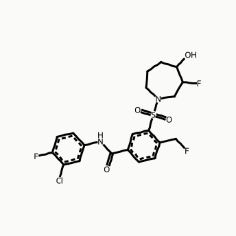 O=C(Nc1ccc(F)c(Cl)c1)c1ccc(CF)c(S(=O)(=O)N2CCCC(O)C(F)C2)c1